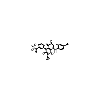 C#Cc1ccc(Nc2cc(=O)n(C)c3c2c(=O)n(C2CC2)c(=O)n3-c2cccc(NS(C)(=O)=O)c2)c(C)c1